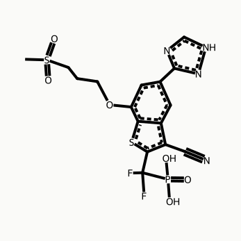 CS(=O)(=O)CCCOc1cc(-c2nc[nH]n2)cc2c(C#N)c(C(F)(F)P(=O)(O)O)sc12